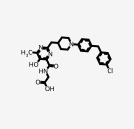 Cc1nc(CC2CCN(c3ccc(Cc4ccc(Cl)cc4)cc3)CC2)nc(C(=O)NCC(=O)O)c1O